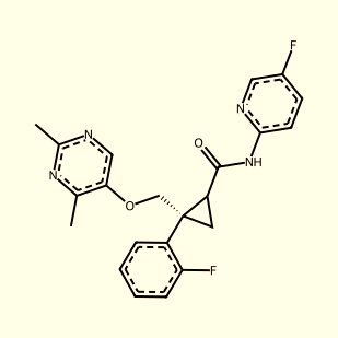 Cc1ncc(OC[C@@]2(c3ccccc3F)CC2C(=O)Nc2ccc(F)cn2)c(C)n1